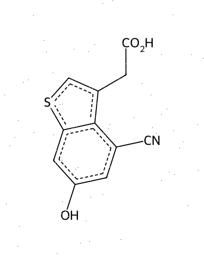 N#Cc1cc(O)cc2scc(CC(=O)O)c12